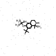 BC(B)(B)Oc1cc2c(cc1C(C)(C)I)C(B)(C)N(I)CC2